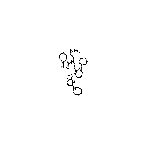 NCCN(CC[C@@H]1[C@@H](Nc2nccc(N3CCCCCC3)n2)CCCN1C1CCCCC1)C(=O)C1CCCCN1